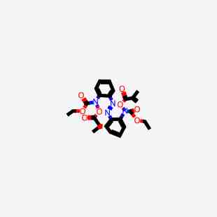 C=C(C)C(=O)ON(C(=O)OCC)c1ccccc1/N=N/c1ccccc1N(OC(=O)C(=C)C)C(=O)OCC